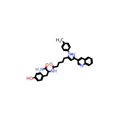 Cc1ccc(-n2nc(-c3cnc4ccccc4c3)cc2CCCCC(=O)NC(Cc2ccc(O)cc2)C(N)=O)cc1